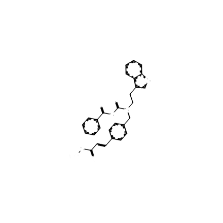 O=C(C=Cc1ccc(CN(CCc2c[nH]c3ccccc23)C(=O)NC(=O)c2ccccc2)cc1)NO